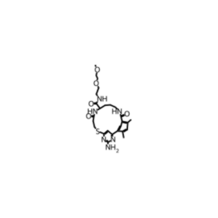 COCCOCCNC(=O)C1CCCNC(=O)c2cc(c(C)cc2C)-c2cc(nc(N)n2)SCCC(=O)N1